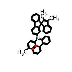 CC1=C(C)C2(c3ccccc31)c1ccccc1-c1ccc(N(c3ccc(C)cc3)c3ccccc3-c3ccccc3)cc12